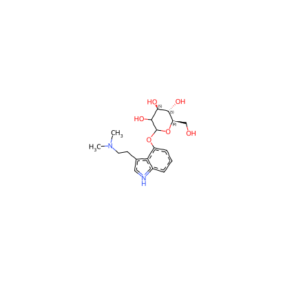 CN(C)CCc1c[nH]c2cccc(OC3O[C@H](CO)[C@@H](O)[C@H](O)C3O)c12